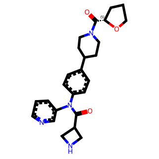 O=C([C@@H]1CCCO1)N1CCC(c2ccc(N(C(=O)C3CNC3)c3cccnc3)cc2)CC1